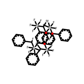 FC(c1ccccc1)S(F)(F)(F)(F)c1cc(S(F)(F)(F)(F)C(F)c2ccccc2)c(S(F)(F)(F)(F)C(F)c2ccccc2)cc1S(F)(F)(F)(F)C(F)c1ccccc1